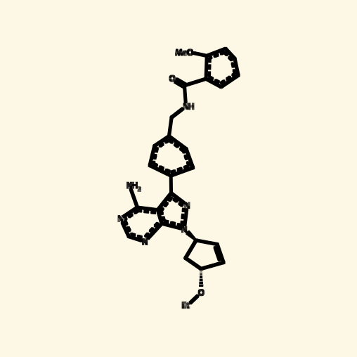 CCO[C@H]1C=C[C@H](n2nc(-c3ccc(CNC(=O)c4ccccc4OC)cc3)c3c(N)ncnc32)C1